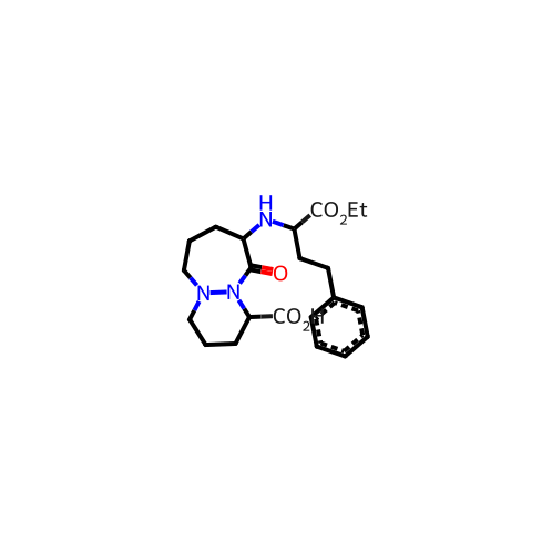 CCOC(=O)C(CCc1ccccc1)NC1CCCN2CCCC(C(=O)O)N2C1=O